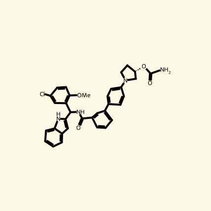 COc1ccc(Cl)cc1C(NC(=O)c1cccc(-c2ccc(N3CC[C@H](OC(N)=O)C3)cc2)c1)c1cc2ccccc2[nH]1